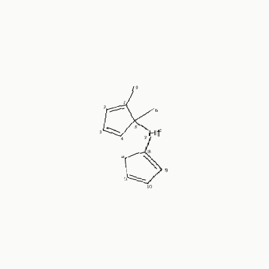 CC1=CC=C[C]1(C)[Hf][C]1=CC=CC1